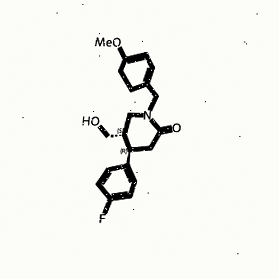 COC1=CC=C(CN2C[C@@H](CO)[C@H](c3ccc(F)cc3)CC2=O)CC1